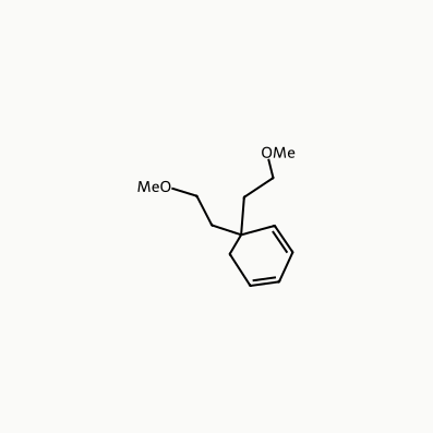 COCCC1(CCOC)C=CC=CC1